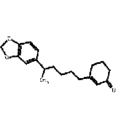 CC(CCCCC1=CC(=O)CCC1)c1ccc2c(c1)OCO2